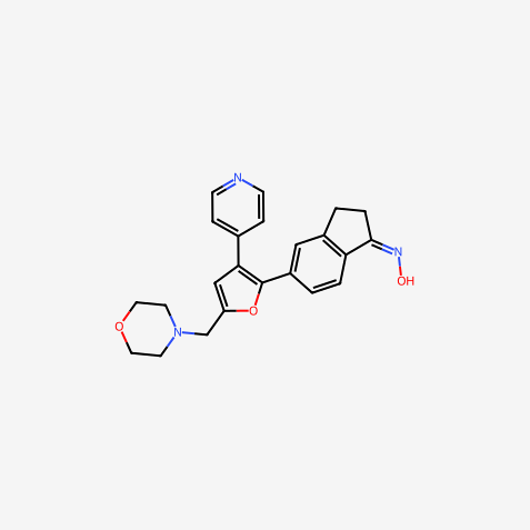 O/N=C1/CCc2cc(-c3oc(CN4CCOCC4)cc3-c3ccncc3)ccc21